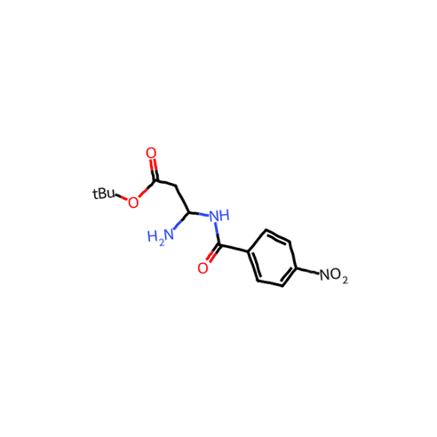 CC(C)(C)OC(=O)CC(N)NC(=O)c1ccc([N+](=O)[O-])cc1